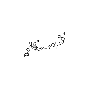 Cc1ncsc1-c1ccc(CNC(=O)[C@@H]2C[C@@H](O)CN2C(=O)C(NC(=O)COCCCCC(C)Oc2ccc(C(=O)N[C@H]3C(C)(C)[C@H](Oc4ccc(C#N)c(Cl)c4)C3(C)C)cc2)C(C)(C)C)cc1